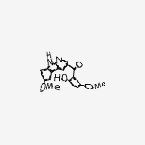 COc1ccc(O)c(C(=O)c2cnc3[nH]c4ccc(OC)cc4c3c2)c1